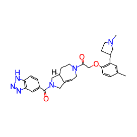 Cc1ccc(OCC(=O)N2CC=C3CN(C(=O)c4ccc5[nH]nnc5c4)C[C@H]3CC2)c(C2CCN(C)C2)c1